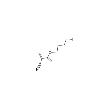 C=C(C#N)C(=C)OCCCCI